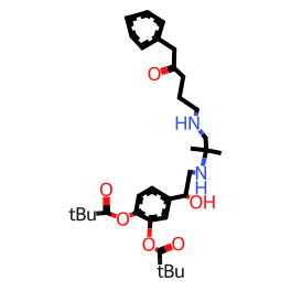 CC(C)(CNCCCC(=O)Cc1ccccc1)NCC(O)c1ccc(OC(=O)C(C)(C)C)c(OC(=O)C(C)(C)C)c1